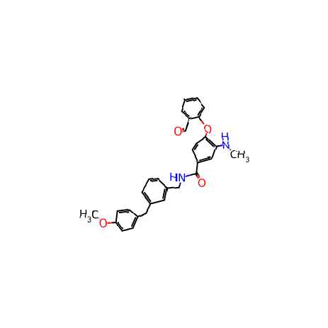 CNc1cc(C(=O)NCc2cccc(Cc3ccc(OC)cc3)c2)ccc1Oc1ccccc1C=O